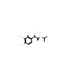 CC(C)NC(=O)C(N)c1ccc(O)c(O)c1F